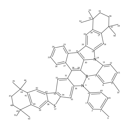 Cc1ccc(N2B3c4cc(C)ccc4-n4c5cc6c(cc5c5c7ccccc7c(c3c54)-c3cc4c(cc32)sc2cc3c(cc24)C(C)(C)CCC3(C)C)C(C)(C)CCC6(C)C)cc1